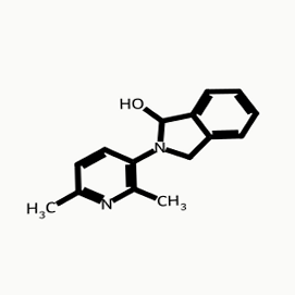 Cc1ccc(N2Cc3ccccc3C2O)c(C)n1